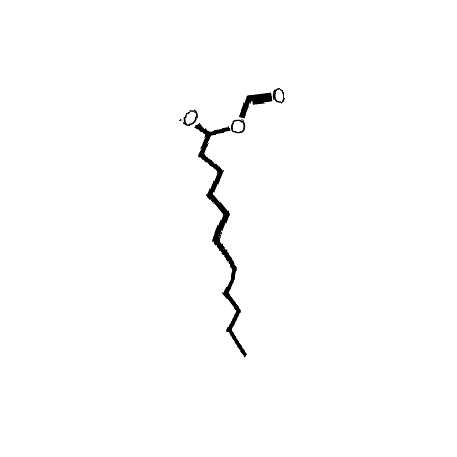 CCCCCCCCCCC([O])OC=O